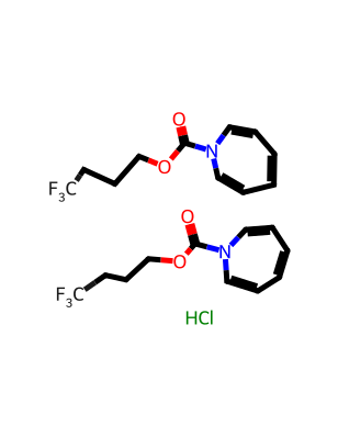 Cl.O=C(OCCCC(F)(F)F)N1C=CC=CC=C1.O=C(OCCCC(F)(F)F)N1C=CC=CC=C1